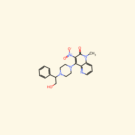 Cn1c(=O)c([N+](=O)[O-])c(N2CCN(C(CO)c3ccccc3)CC2)c2ncccc21